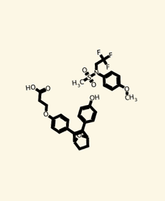 COc1ccc(N(CC(F)(F)F)S(C)(=O)=O)cc1.O=C(O)CCOc1ccc(C2=C(c3ccc(O)cc3)C3CCC2O3)cc1